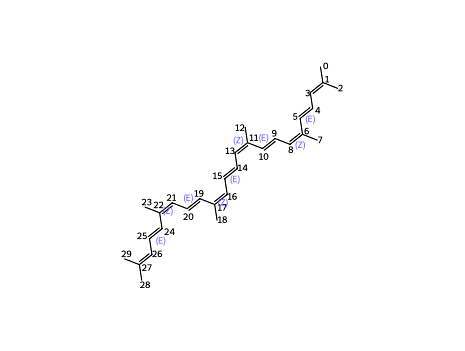 CC(C)=C/C=C/C(C)=C\C=C\C(C)=C/C=C/C=C(C)\C=C\C=C(C)/C=C/C=C(C)C